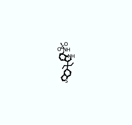 CCC(CC)(c1ccc2sccc2c1)c1c[nH]c2c(NS(C)(=O)=O)cccc12